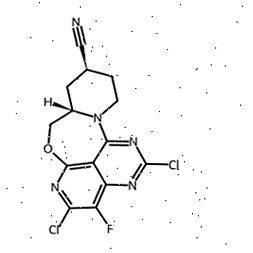 N#C[C@H]1CCN2c3nc(Cl)nc4c(F)c(Cl)nc(c34)OC[C@@H]2C1